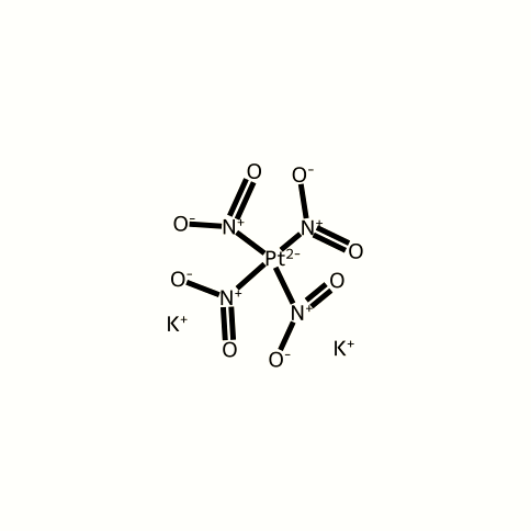 O=[N+]([O-])[Pt-2]([N+](=O)[O-])([N+](=O)[O-])[N+](=O)[O-].[K+].[K+]